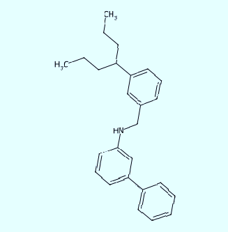 CCCC(CCC)c1cccc(CNc2cccc(-c3ccccc3)c2)c1